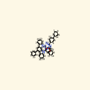 c1ccc(-c2ccc(-c3nc(-c4ccccc4)nc(-n4c5ccccc5c5cc(-c6ccccc6)c6c7ccccc7n(-c7ccccc7)c6c54)n3)cc2)cc1